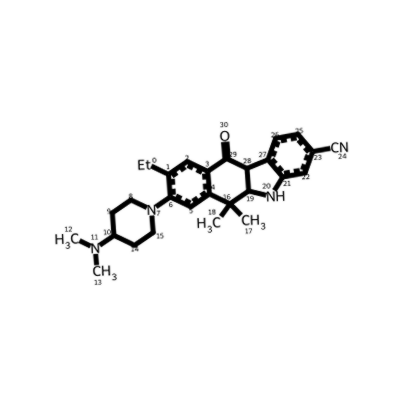 CCc1cc2c(cc1N1CCC(N(C)C)CC1)C(C)(C)C1Nc3cc(C#N)ccc3C1C2=O